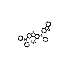 Cc1cc(N(c2ccccc2)c2ccc3c(c2)sc2ccccc23)cc2sc3ccc(N(c4ccccc4)c4ccccc4)cc3c12